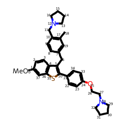 COc1ccc2c(Cc3ccc(CN4CCCC4)c(C)c3)c(-c3ccc(OCCN4CCCC4)cc3)sc2c1